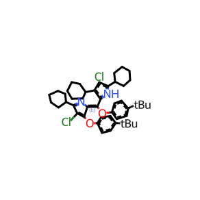 CC(C)(C)c1ccc(OC2=C(Cl)C(C3CCCCC3)=N/C2=C(/Oc2ccc(C(C)(C)C)cc2)c2[nH]c(C3CCCCC3)c(Cl)c2C2CCCCC2)cc1